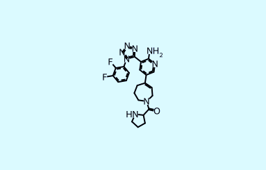 Nc1ncc(C2=CCN(C(=O)C3CCCN3)CCC2)cc1-c1nnnn1-c1cccc(F)c1F